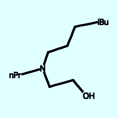 CCCN(CCO)CCCC(C)CC